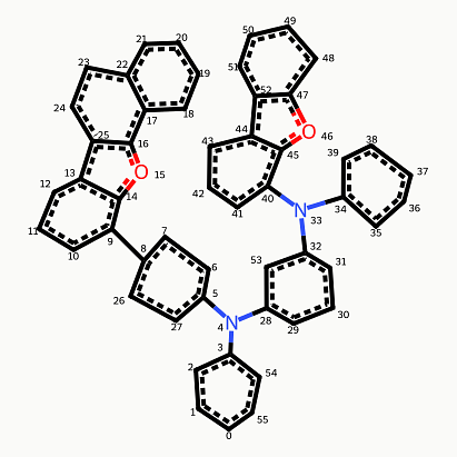 c1ccc(N(c2ccc(-c3cccc4c3oc3c5ccccc5ccc43)cc2)c2cccc(N(c3ccccc3)c3cccc4c3oc3ccccc34)c2)cc1